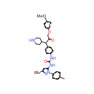 COc1ccc(OCC(=O)C(c2ccc(NC(=O)Nc3cc(C(C)(C)C)nn3-c3ccc(C)cc3)cc2)C2CCNCC2)cc1